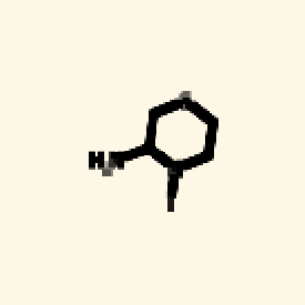 NC1CSCCN1I